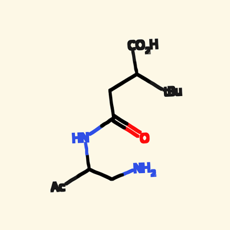 CC(=O)C(CN)NC(=O)CC(C(=O)O)C(C)(C)C